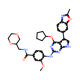 COc1cc(C(=O)NCC2COCCO2)ccc1Nc1nc(OC2CCCC2)c2c(-c3ccc4nc(C)oc4c3)c[nH]c2n1